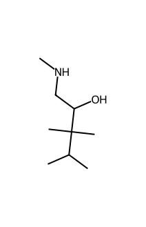 CNCC(O)C(C)(C)C(C)C